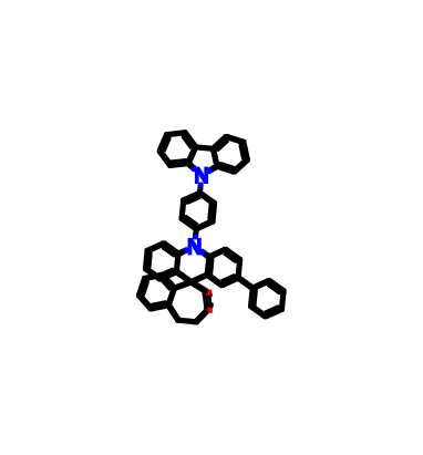 c1ccc(-c2ccc3c(c2)C2(c4ccccc4CCc4ccccc42)c2ccccc2N3c2ccc(-n3c4ccccc4c4ccccc43)cc2)cc1